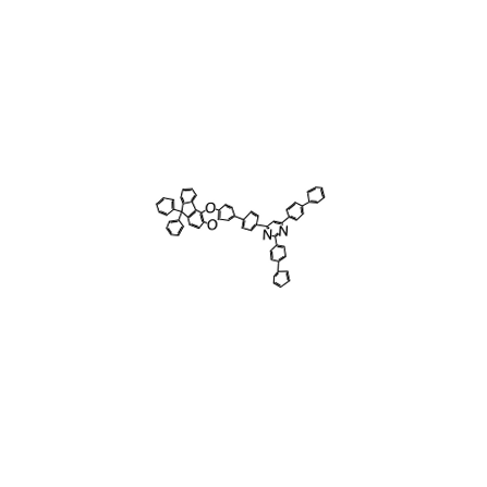 c1ccc(-c2ccc(-c3cc(-c4ccc(-c5ccc6c(c5)Oc5ccc7c(c5O6)-c5ccccc5C7(c5ccccc5)c5ccccc5)cc4)nc(-c4ccc(-c5ccccc5)cc4)n3)cc2)cc1